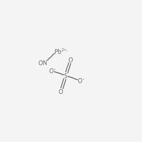 O=S(=O)([O-])[O-].O=[N][Pb+2]